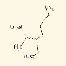 CCCCC(CC)C(C)N=O